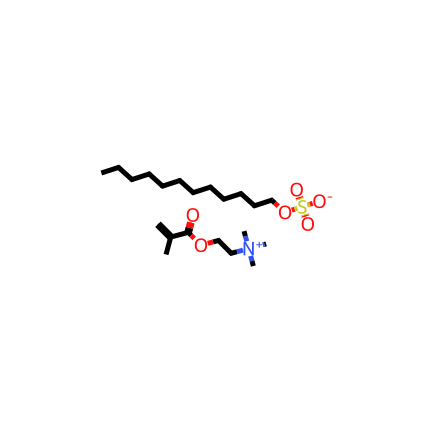 C=C(C)C(=O)OCC[N+](C)(C)C.CCCCCCCCCCCCOS(=O)(=O)[O-]